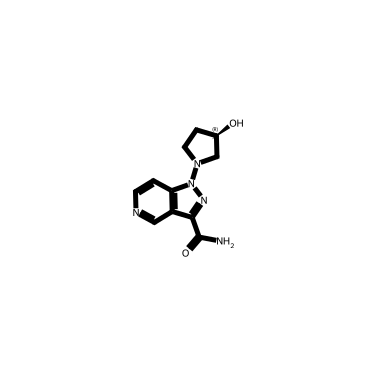 NC(=O)c1nn(N2CC[C@@H](O)C2)c2ccncc12